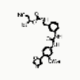 CCC(CC#N)OC(=O)NCc1cccc(NC(=O)Nc2ccc(-c3cnco3)c(OC)c2)c1